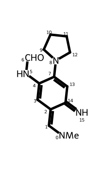 CN/C=C1/C=C(NC=O)C(N2CCCC2)=CC1=N